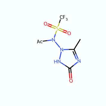 CC(=O)N(n1[nH]c(=O)nc1C)S(=O)(=O)C(F)(F)F